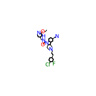 CCOc1cc(CNC(=O)n2c3c(c4cc(C#N)ccc42)CN(CC=Cc2ccc(Cl)c(F)c2)CC3)ccn1